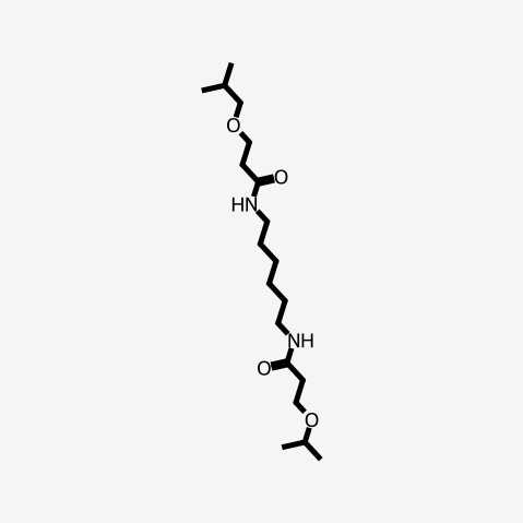 CC(C)COCCC(=O)NCCCCCCNC(=O)CCOC(C)C